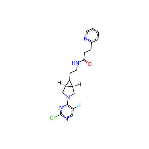 O=C(CCc1ccccn1)NCCC1[C@H]2CN(c3nc(Cl)ncc3F)C[C@@H]12